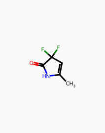 CC1=CC(F)(F)C(=O)N1